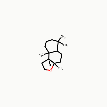 CC1(C)CCCC2(C)C1CCC1(C)OCC[C@@H]12